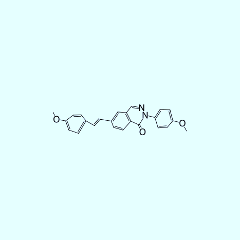 COc1ccc(/C=C/c2ccc3c(=O)n(-c4ccc(OC)cc4)ncc3c2)cc1